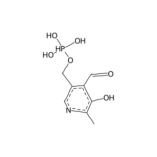 Cc1ncc(CO[PH](O)(O)O)c(C=O)c1O